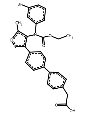 CCOC(=O)N(c1cccc(Br)c1)c1c(-c2ccc(-c3ccc(CC(=O)O)cc3)cc2)noc1C